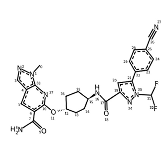 Cn1ncc2cc(C(N)=O)c(O[C@H]3CC[C@H](NC(=O)c4cc(-c5ccc(C#N)cc5)n(C(F)F)n4)CC3)nc21